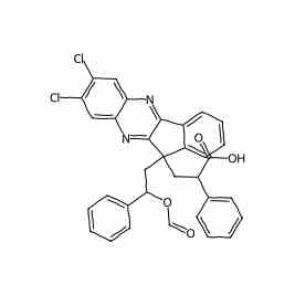 O=COC(CC1(CC(C(=O)O)c2ccccc2)c2ccccc2-c2nc3cc(Cl)c(Cl)cc3nc21)c1ccccc1